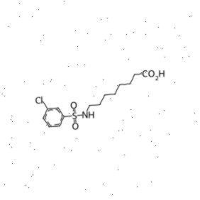 O=C(O)CCCCCCCNS(=O)(=O)c1cccc(Cl)c1